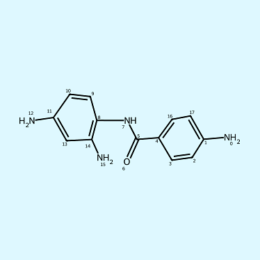 Nc1ccc(C(=O)Nc2ccc(N)cc2N)cc1